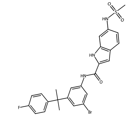 CC(C)(c1ccc(F)cc1)c1cc(Br)cc(NC(=O)c2cc3ccc(NS(C)(=O)=O)cc3[nH]2)c1